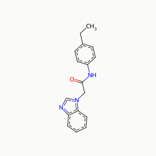 CCc1ccc(NC(=O)Cn2cnc3ccccc32)cc1